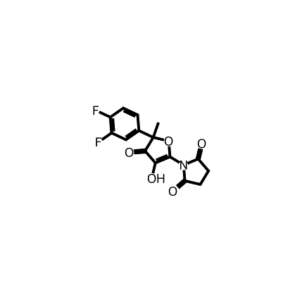 CC1(c2ccc(F)c(F)c2)OC(N2C(=O)CCC2=O)=C(O)C1=O